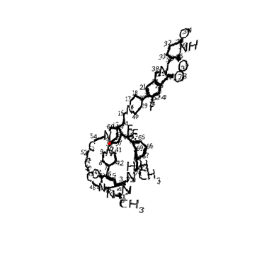 Cc1nc2c3cc(C4CCN(CCCCCN5CCC(c6cc7c(cc6F)C(=O)N(C6CCC(=O)NC6=O)C7)CC5)CC4)c(=O)n(c3n1)CCCCCCCN1CCC(CC1)C(F)(F)c1cccc(c1)[C@@H](C)N2